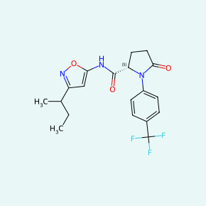 CCC(C)c1cc(NC(=O)[C@@H]2CCC(=O)N2c2ccc(C(F)(F)F)cc2)on1